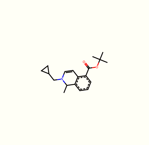 CC1c2cccc(C(=O)OC(C)(C)C)c2C=CN1CC1CC1